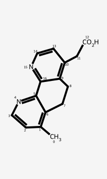 Cc1ccnc2c1CCc1c(CC(=O)O)ccnc1-2